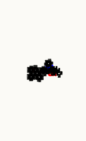 BC(B)(B)C(B)(O)c1nc2ccccc2n1-c1ccc(-c2c3ccccc3c(-c3ccccc3-c3ccccc3)c3ccccc23)cc1